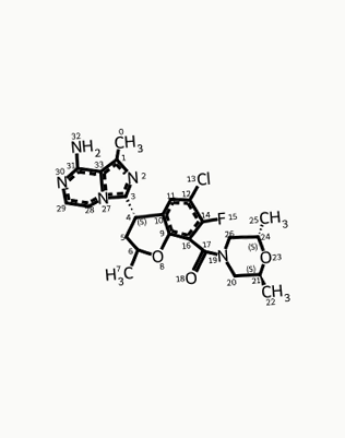 Cc1nc([C@H]2CC(C)Oc3c2cc(Cl)c(F)c3C(=O)N2C[C@H](C)O[C@@H](C)C2)n2ccnc(N)c12